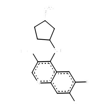 CO[C@H]1CCC(Nc2c(C(=O)O)cnc3cc(F)c(Br)cc23)C1